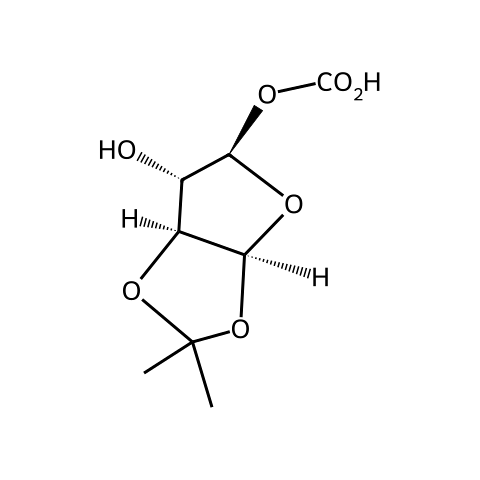 CC1(C)O[C@@H]2O[C@H](OC(=O)O)[C@@H](O)[C@@H]2O1